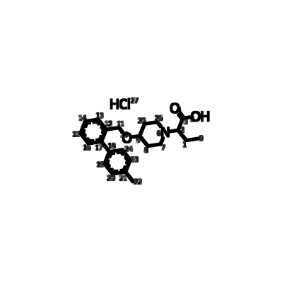 CCC(C(=O)O)N1CCC(OCc2ccccc2-c2ccc(C)cc2)CC1.Cl